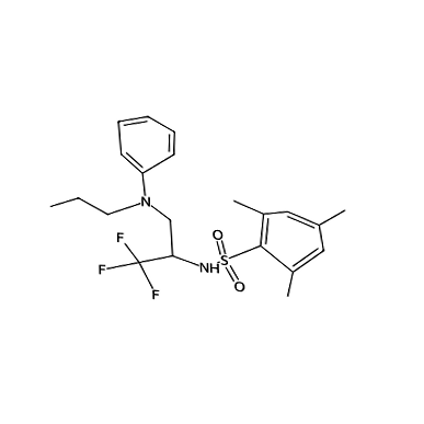 CCCN(CC(NS(=O)(=O)c1c(C)cc(C)cc1C)C(F)(F)F)c1ccccc1